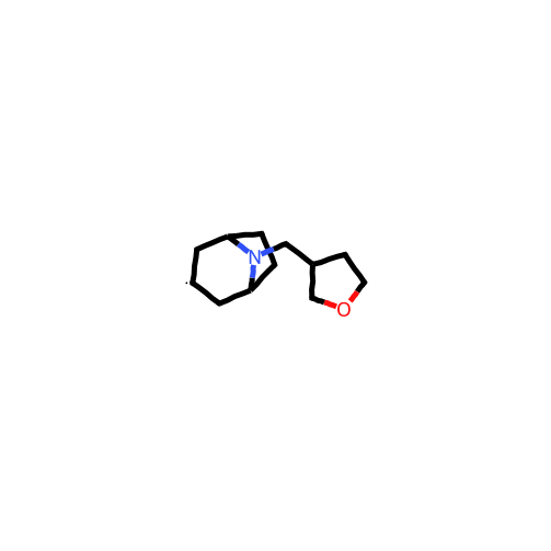 [CH]1CC2CCC(C1)N2CC1CCOC1